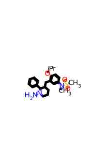 CC(C)Oc1ccc(N(C)S(C)(=O)=O)cc1CC1CCCN(N)C1c1ccccc1